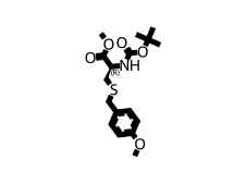 COC(=O)[C@H](CSCc1ccc(OC)cc1)NC(=O)OC(C)(C)C